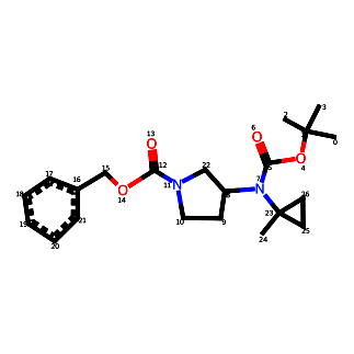 CC(C)(C)OC(=O)N(C1CCN(C(=O)OCc2ccccc2)C1)C1(C)CC1